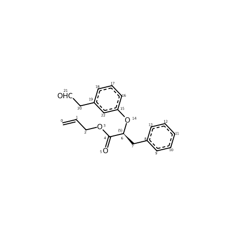 C=CCOC(=O)[C@H](Cc1ccccc1)Oc1cccc(CC=O)c1